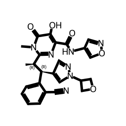 C[C@@H](c1nc(C(=O)Nc2cnoc2)c(O)c(=O)n1C)[C@@H](c1cnn(C2COC2)c1)c1ccccc1C#N